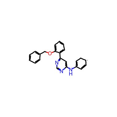 [CH]1C=CC(Nc2cc(-c3ccccc3OCc3ccccc3)ncn2)=CC1